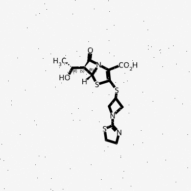 C[C@@H](O)[C@H]1C(=O)N2C(C(=O)O)=C(SC3CN(C4=NCCS4)C3)S[C@H]12